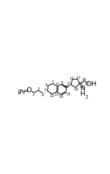 CC(C)OCCC[C@@H]1CCc2cc([C@H]3CC[C@](N)(CO)C3)ccc2C1